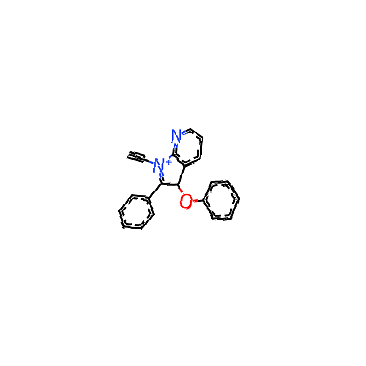 C#C[N+]1=C(c2ccccc2)C(Oc2ccccc2)c2cccnc21